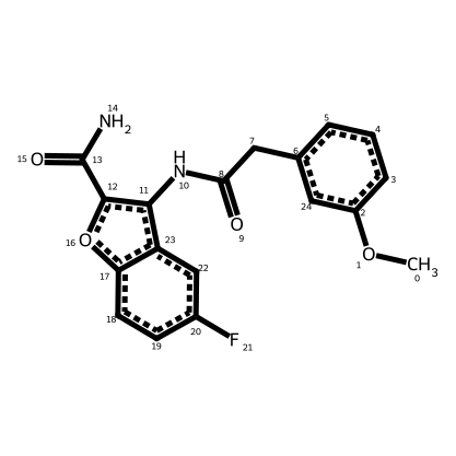 COc1cccc(CC(=O)Nc2c(C(N)=O)oc3ccc(F)cc23)c1